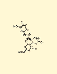 COc1cc(F)c(C2CC(=O)NCC2NC(=O)Nc2ccc(Cl)c(O)c2)c(F)c1